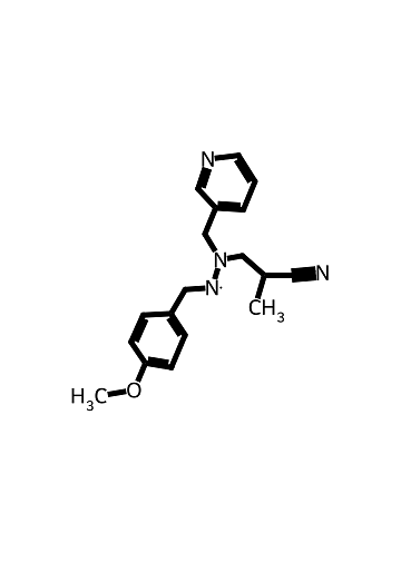 COc1ccc(C[N]N(Cc2cccnc2)CC(C)C#N)cc1